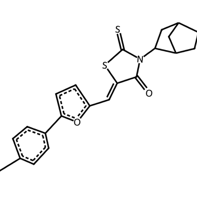 Cc1ccc(-c2ccc(/C=C3\SC(=S)N(C4CC5CCC4C5)C3=O)o2)cc1